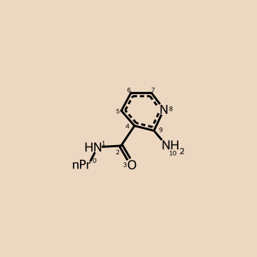 CCCNC(=O)c1cccnc1N